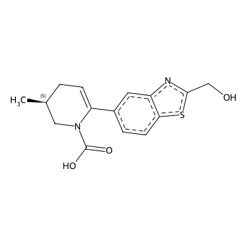 C[C@H]1CC=C(c2ccc3sc(CO)nc3c2)N(C(=O)O)C1